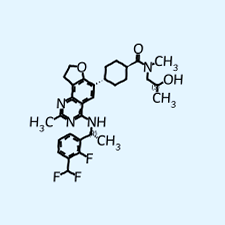 Cc1nc(N[C@H](C)c2cccc(C(F)F)c2F)c2cc([C@H]3CC[C@H](C(=O)N(C)C[C@H](C)O)CC3)c3c(c2n1)CCO3